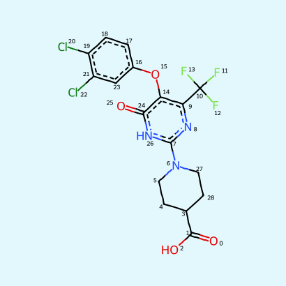 O=C(O)C1CCN(c2nc(C(F)(F)F)c(Oc3ccc(Cl)c(Cl)c3)c(=O)[nH]2)CC1